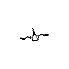 C=CCN1CCN(CC=C)C1=S